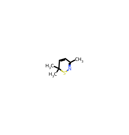 CC1=NSC(C)(C)C=C1